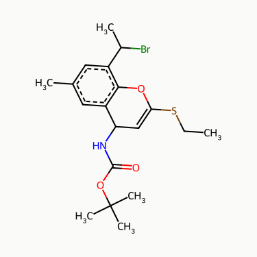 CCSC1=CC(NC(=O)OC(C)(C)C)c2cc(C)cc(C(C)Br)c2O1